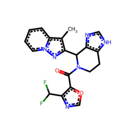 Cc1c(C2c3nc[nH]c3CCN2C(=O)c2ocnc2C(F)F)nn2ccccc12